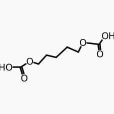 O=C(O)OCCCCCOC(=O)O